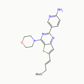 COCC=Cc1cc2nc(-c3ccc(N)nc3)nc(N3CCOCC3)c2s1